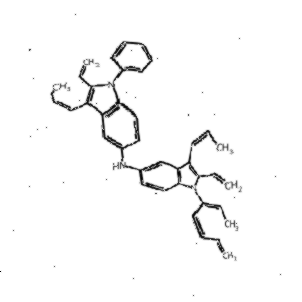 C=C/C=C\C(=C/C)n1c(C=C)c(/C=C\C)c2cc(Nc3ccc4c(c3)c(/C=C\C)c(C=C)n4-c3ccccc3)ccc21